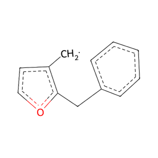 [CH2]c1ccoc1Cc1ccccc1